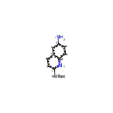 CCCCCCc1ccc2cc(N)ccc2n1